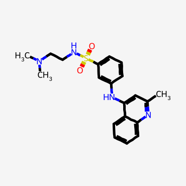 Cc1cc(Nc2cccc(S(=O)(=O)NCCN(C)C)c2)c2ccccc2n1